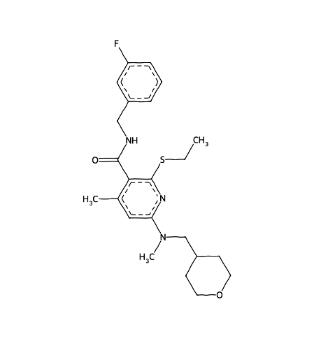 CCSc1nc(N(C)CC2CCOCC2)cc(C)c1C(=O)NCc1cccc(F)c1